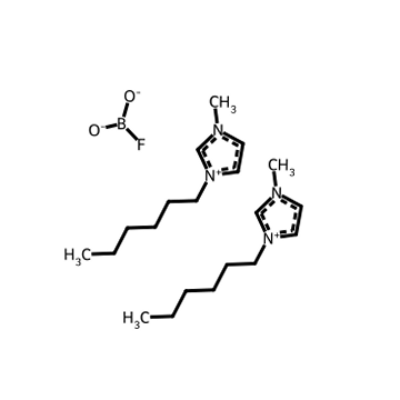 CCCCCC[n+]1ccn(C)c1.CCCCCC[n+]1ccn(C)c1.[O-]B([O-])F